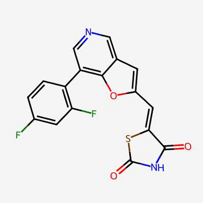 O=C1NC(=O)C(=Cc2cc3cncc(-c4ccc(F)cc4F)c3o2)S1